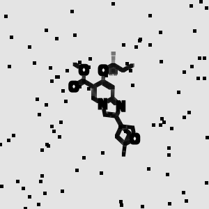 CC[C@@H](C)Oc1cc2nc(C34COC(C)(C3)C4)cn2cc1C(=O)OC